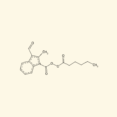 CCCCCC(=O)OOC(=O)n1c(C)c(C=O)c2ccccc21